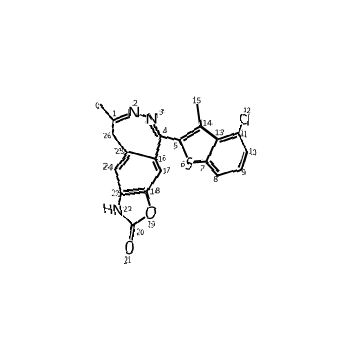 CC1=NN=C(c2sc3cccc(Cl)c3c2C)c2cc3oc(=O)[nH]c3cc2C1